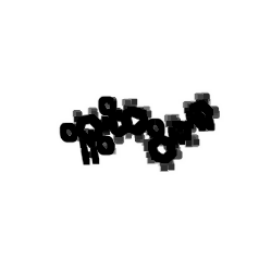 O=C1CCC(N2Cc3cc(O[C@H]4CCCC[C@H]4N4CC(n5cccn5)C4)ccc3C2=O)C(=O)N1